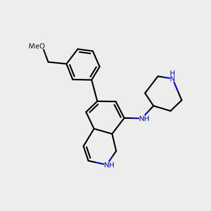 COCc1cccc(C2=CC3C=CNCC3C(NC3CCNCC3)=C2)c1